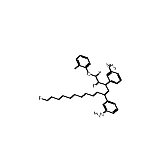 Cc1ccccc1OC(F)C(F)C(CC(CCCCCCCCCCF)c1cccc(N)c1)c1cccc(N)c1